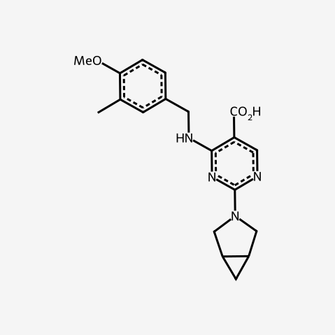 COc1ccc(CNc2nc(N3CC4CC4C3)ncc2C(=O)O)cc1C